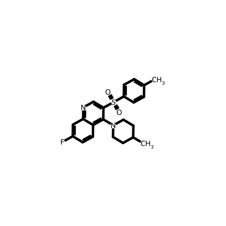 Cc1ccc(S(=O)(=O)c2cnc3cc(F)ccc3c2N2CCC(C)CC2)cc1